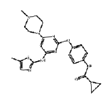 Cc1cnc(Nc2nc(Oc3ccc(NC(=O)C4CC4)cc3)nc(N3CCN(C)CC3)n2)s1